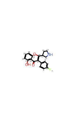 O=c1c(-c2ccc(F)cc2)c(C2CCNC2)oc2cccc(O)c12